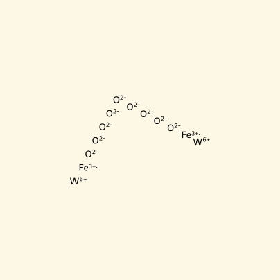 [Fe+3].[Fe+3].[O-2].[O-2].[O-2].[O-2].[O-2].[O-2].[O-2].[O-2].[O-2].[W+6].[W+6]